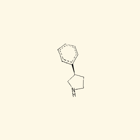 c1ccc([C@H]2CCNC2)cc1